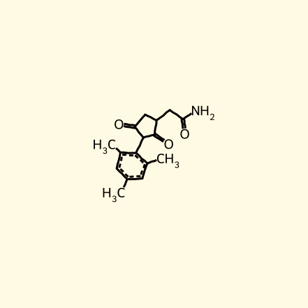 Cc1cc(C)c(C2C(=O)CC(CC(N)=O)C2=O)c(C)c1